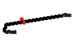 CCCCC/C=C\C/C=C\CCCCCCCC(=O)OCCCCCCCCCCCCCCCCCCCCCCCCCCCCCC